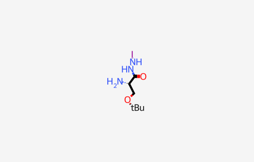 CC(C)(C)OC[C@H](N)C(=O)NNI